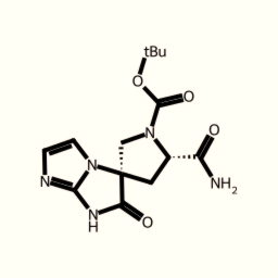 CC(C)(C)OC(=O)N1C[C@]2(C[C@H]1C(N)=O)C(=O)Nc1nccn12